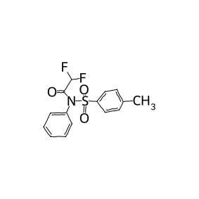 Cc1ccc(S(=O)(=O)N(C(=O)C(F)F)c2ccccc2)cc1